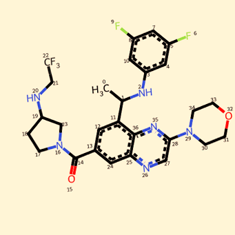 CC(Nc1cc(F)cc(F)c1)c1cc(C(=O)N2CCC(NCC(F)(F)F)C2)cc2ncc(N3CCOCC3)nc12